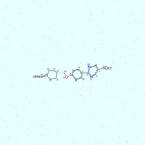 CCCCCCCCc1cnc(-c2ccc(OC[C@H]3CC[C@H](CCCCCC)CC3)cc2)nc1